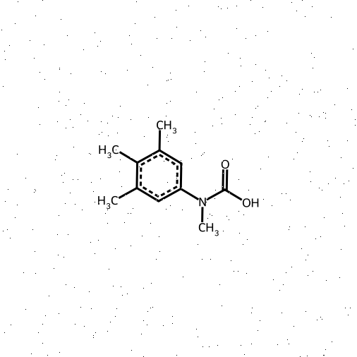 Cc1cc(N(C)C(=O)O)cc(C)c1C